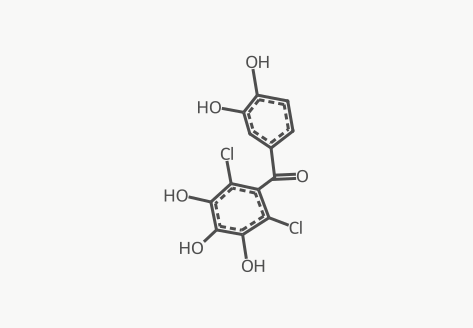 O=C(c1ccc(O)c(O)c1)c1c(Cl)c(O)c(O)c(O)c1Cl